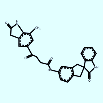 Cc1cc(C(=O)CCC(=O)Nc2ccc3c(c2)CC2(C3)C(=O)Nc3ccccc32)cc2c1NC(=O)C2